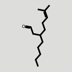 CCCCCC(CC=O)CCC=C(C)C